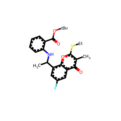 CCSc1oc2c(C(C)Nc3ccccc3C(=O)OC(C)(C)C)cc(F)cc2c(=O)c1C